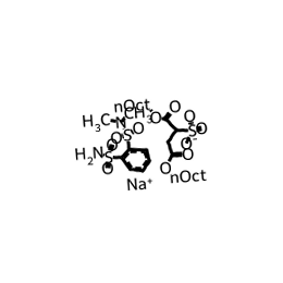 CCCCCCCCOC(=O)CC(C(=O)OCCCCCCCC)S(=O)(=O)[O-].CN(C)S(=O)(=O)c1ccccc1S(N)(=O)=O.[Na+]